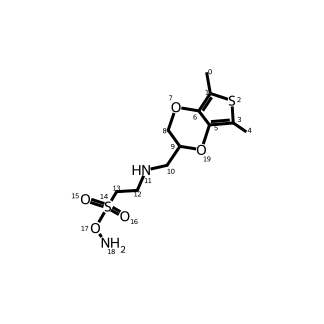 Cc1sc(C)c2c1OCC(CNCCS(=O)(=O)ON)O2